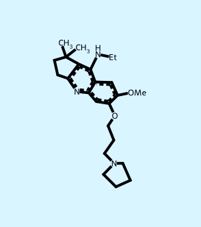 CCNc1c2c(nc3cc(OCCCN4CCCC4)c(OC)cc13)CCC2(C)C